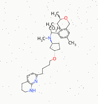 Cc1cc2c(c(C(C(=O)O)N(C)[C@H]3CC[C@H](OCCCCc4ccc5c(n4)NCCC5)C3)c1)[C@H](C)[C@@H](C)OC2